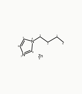 CCCCn1ccnc1.[Zn]